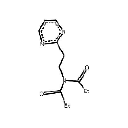 CCC(=O)N(CCc1ncccn1)C(=O)CC